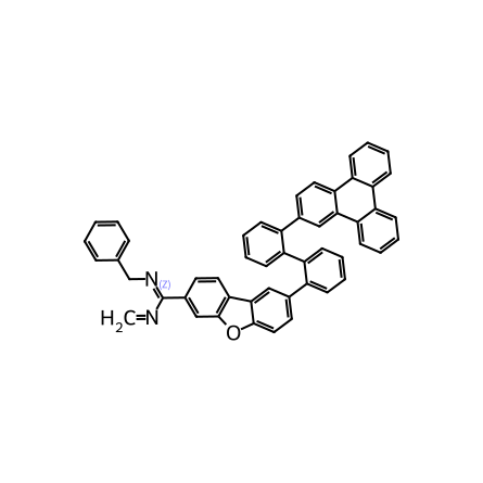 C=N/C(=N\Cc1ccccc1)c1ccc2c(c1)oc1ccc(-c3ccccc3-c3ccccc3-c3ccc4c5ccccc5c5ccccc5c4c3)cc12